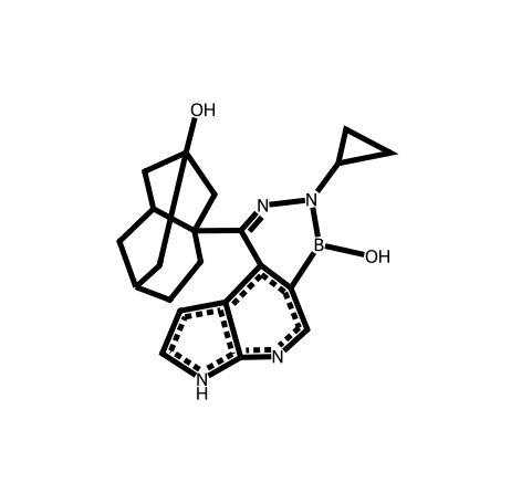 OB1c2cnc3[nH]ccc3c2C(C23CCC4CC2CC(O)(C4)C3)=NN1C1CC1